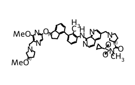 COc1nc(O[C@@H]2CCc3c(-c4cccc(Nc5nccc6cc(CN7CC[C@@H](C(=O)N(C)S(=O)(=O)C8CC8)C7)cnc56)c4C)cccc32)cnc1CN1CC[C@@H](OC)C1